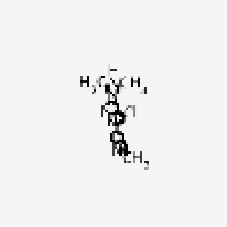 C[C@H]1CN(c2cnc3nc(-c4ccc5nn(C)cc5c4)cc(Cl)c3c2)C[C@H](C)N1